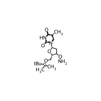 Cc1cn([C@H]2CC(ON)[C@@H](CO[Si](C)(C)C(C)(C)C)O2)c(=O)[nH]c1=O